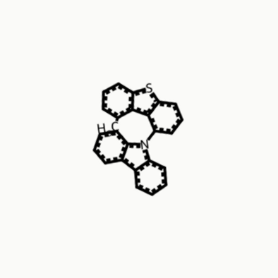 Cc1cccc2sc3cccc(-n4c5ccccc5c5ccccc54)c3c12